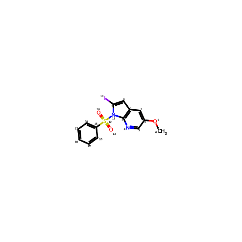 COc1cnc2c(c1)cc(I)n2S(=O)(=O)c1ccccc1